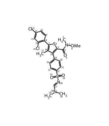 CON(C)C(=O)c1sc(-c2ccc(Cl)cc2Cl)c(C)c1-c1ccc(S(=O)(=O)N=CN(C)C)cc1